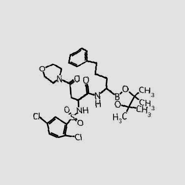 CC1(C)OB(C(CCCc2ccccc2)NC(=O)C(CC(=O)N2CCOCC2)NS(=O)(=O)c2cc(Cl)ccc2Cl)OC1(C)C